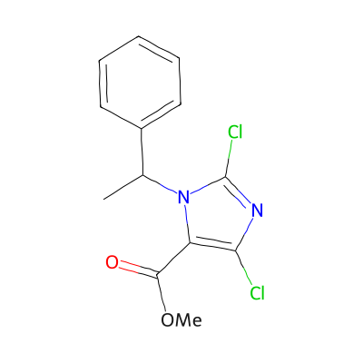 COC(=O)c1c(Cl)nc(Cl)n1C(C)c1ccccc1